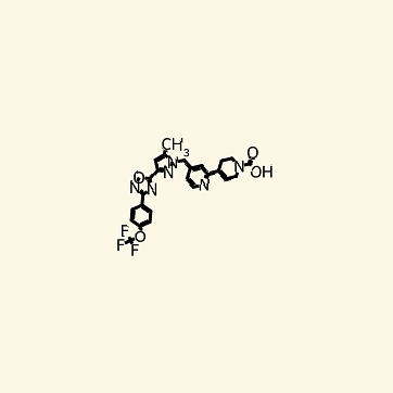 Cc1cc(-c2nc(-c3ccc(OC(F)(F)F)cc3)no2)nn1Cc1ccnc(C2=CCN(C(=O)O)CC2)c1